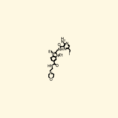 CCn1c(CNC(=O)c2nc(CI)cnc2N)[n+](CC)c2ccc(C(=O)NCCN3CCOCC3)cc21